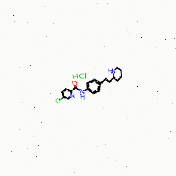 Cl.O=C(Nc1ccc(CCC2CCCCN2)cc1)c1ccc(Cl)cn1